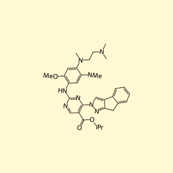 CNc1cc(Nc2ncc(C(=O)OC(C)C)c(-n3cc4c(n3)Cc3ccccc3-4)n2)c(OC)cc1N(C)CCN(C)C